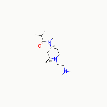 CC(C)C(=O)N(C)[C@H]1CCN(CCN(C)C)[C@@H](C)C1